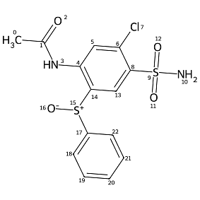 CC(=O)Nc1cc(Cl)c(S(N)(=O)=O)cc1[S+]([O-])c1ccccc1